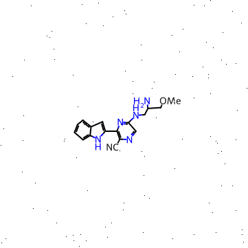 COCC(N)CNc1cnc(C#N)c(-c2cc3ccccc3[nH]2)n1